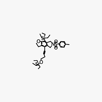 CC[Si](CC)(CC)OCCC#Cc1c2c(c([Si](CC)(CC)CC)c3c1CCO3)CN(S(=O)(=O)c1ccc(C)cc1)C2